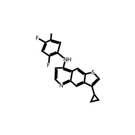 Cc1cc(Nc2ccnc3cc4c(C5CC5)csc4cc23)c(F)cc1F